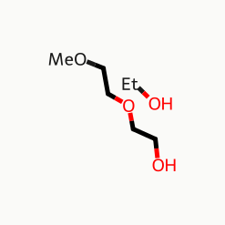 CCO.[CH2]OCCOCCO